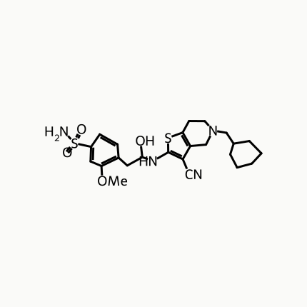 COc1cc(S(N)(=O)=O)ccc1CC(O)Nc1sc2c(c1C#N)CN(CC1CCCCC1)CC2